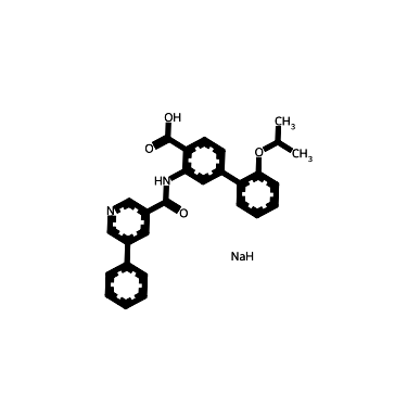 CC(C)Oc1ccccc1-c1ccc(C(=O)O)c(NC(=O)c2cncc(-c3ccccc3)c2)c1.[NaH]